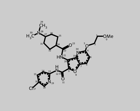 COCCOc1ccc2oc(C(=O)Nc3ccc(Cl)cn3)c(NC(=O)C3CCC(N(C)C)CC3)c2n1